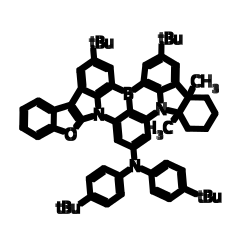 CC(C)(C)c1ccc(N(c2ccc(C(C)(C)C)cc2)c2cc3c4c(c2)-n2c5oc6ccccc6c5c5cc(C(C)(C)C)cc(c52)B4c2cc(C(C)(C)C)cc4c2N3C2(C)CCCCC42C)cc1